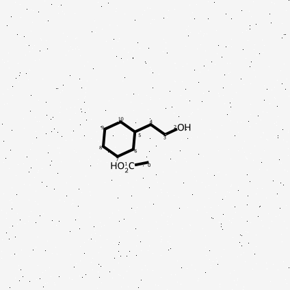 CC(=O)O.OCCC1CCCCC1